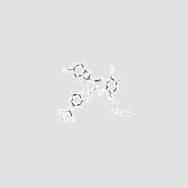 CCCNC(=O)c1ccc2c(c1)CC(N(Cc1cc(Cl)ccc1OCCOC)C(=O)c1cc3cc(Cl)ccc3o1)C2